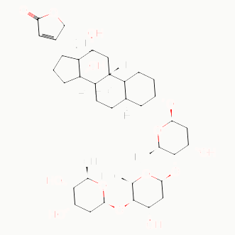 C[C@H]1O[C@@H](O[C@@H]2[C@@H](O)C[C@H](O[C@H]3[C@@H](O)C[C@H](O[C@H]4CC[C@@]5(C)[C@H](CC[C@@H]6[C@@H]5C[C@@H](O)[C@]5(C)[C@@H](C7=CC(=O)OC7)CC[C@]65O)C4)O[C@@H]3C)O[C@@H]2C)C[C@H](O)[C@@H]1O